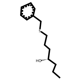 CCC[C@H](O)CCCSCc1ccccc1